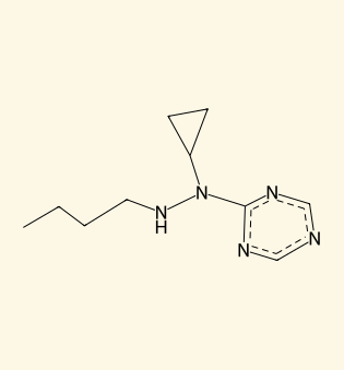 CCCCNN(c1ncncn1)C1CC1